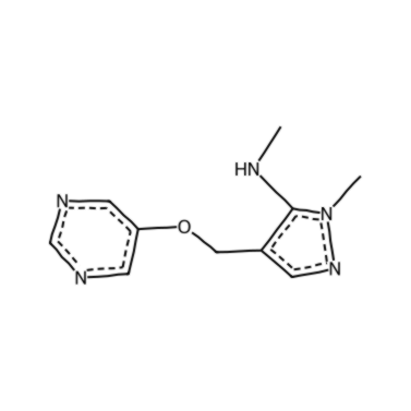 CNc1c(COc2cncnc2)cnn1C